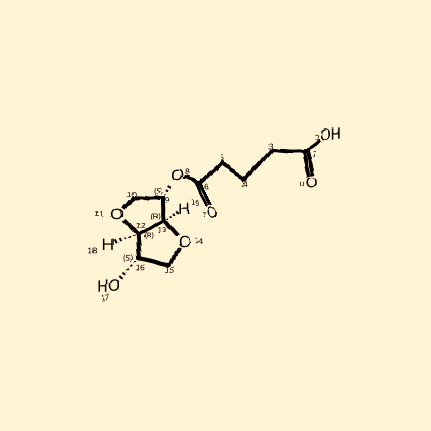 O=C(O)CCCC(=O)O[C@H]1CO[C@H]2[C@@H]1OC[C@@H]2O